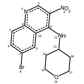 O=[N+]([O-])c1cnc2ccc(Br)cc2c1NC1CCOCC1